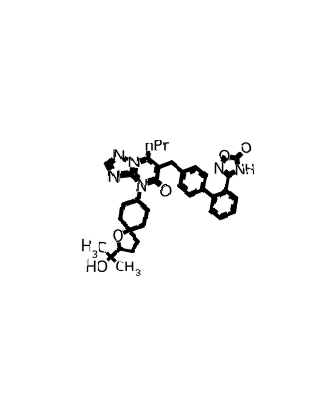 CCCc1c(Cc2ccc(-c3ccccc3-c3noc(=O)[nH]3)cc2)c(=O)n(C2CCC3(CC2)CCC(C(C)(C)O)O3)c2ncnn12